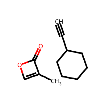 C#CC1CCCCC1.CC1=COC1=O